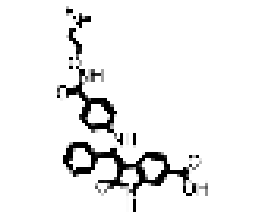 CN(C)CCONC(=O)c1ccc(N/C(=C2/C(=O)Nc3cc(C(=O)O)ccc32)c2ccccc2)cc1